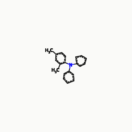 Cc1ccc(N(c2ccccc2)c2ccccc2)c(C)c1